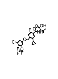 C=C(C)[C@H](NC(=O)c1cc(C2CC2)c(COc2cc(Cl)cc(OC(F)(F)F)c2)cc1F)C(=O)O